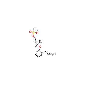 CCOC(=O)Cc1ccccc1OC(C)(/C=C/OS(=O)(=O)C(F)(F)F)CC